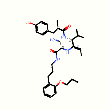 C/C=C(\N[C@@H](CN)C(=O)NCCCc1ccccc1OCCC)[C@H](NC(=O)[C@H](C)Cc1ccc(O)cc1)C(C)C